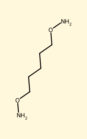 NOCCCCCON